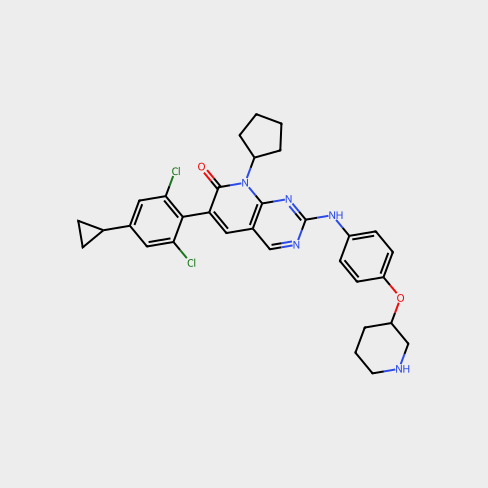 O=c1c(-c2c(Cl)cc(C3CC3)cc2Cl)cc2cnc(Nc3ccc(OC4CCCNC4)cc3)nc2n1C1CCCC1